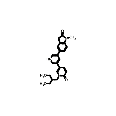 CCC(CC)Cn1cc(C2=CC(c3ccc4c(c3)CC(=O)N4C)=CNC2)ccc1=O